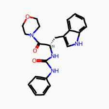 O=C(Nc1ccccc1)N[C@@H](Cc1c[nH]c2ccccc12)C(=O)N1CCOCC1